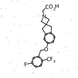 O=C(O)CN1CC2(Cc3ccc(OCc4cc(F)ccc4C(F)(F)F)cc3C2)C1